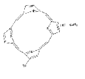 Cl.[2H]C1=CC2=CC3=NC(=CC4=NC(=CC5=NC(=CC1=N2)C=C5)C=C4)C=C3.[GaH3]